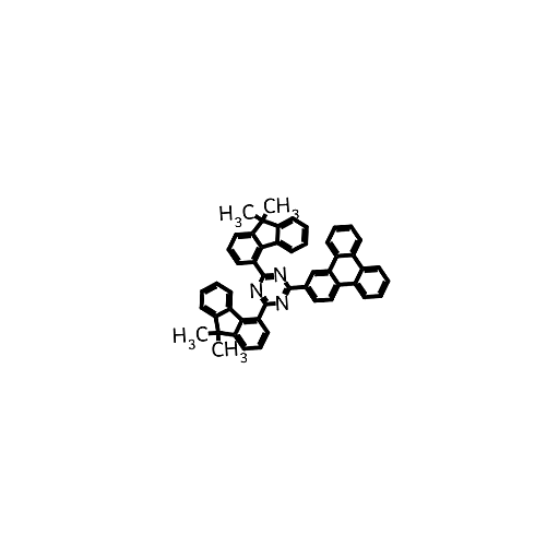 CC1(C)c2ccccc2-c2c(-c3nc(-c4ccc5c6ccccc6c6ccccc6c5c4)nc(-c4cccc5c4-c4ccccc4C5(C)C)n3)cccc21